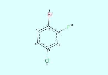 Fc1cc(Cl)[c]cc1Br